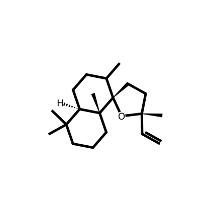 C=C[C@@]1(C)CC[C@]2(O1)C(C)CC[C@@H]1C(C)(C)CCC[C@]12C